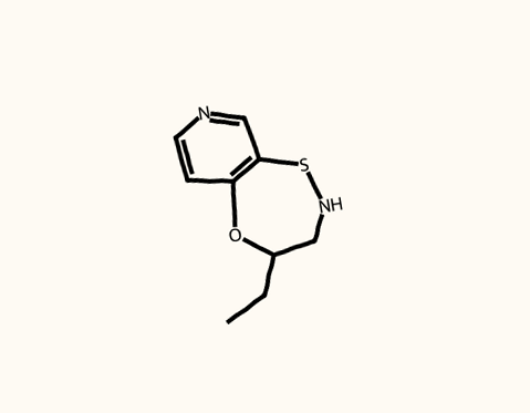 CCC1CNSc2cnccc2O1